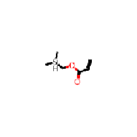 C=CC(=O)OC[SiH](C)C